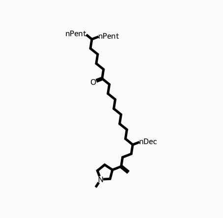 C=C(CCC(CCCCCCCCCC)CCCCCCCCC(=O)CCCCC(CCCCC)CCCCC)C1CCN(C)C1